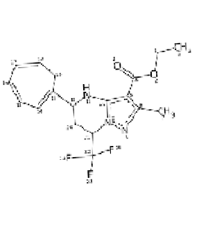 CCOC(=O)c1c(C)nn2c1NC(C1=CC=CC=CC1)CC2C(F)(F)F